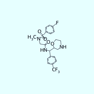 CN(CC(=O)NC(c1ccc(C(F)(F)F)cc1)C1CNCCO1)S(=O)(=O)c1ccc(F)cc1